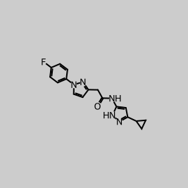 O=C(Cc1ccn(-c2ccc(F)cc2)n1)Nc1cc(C2CC2)n[nH]1